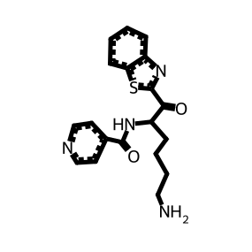 NCCCCC(NC(=O)c1ccncc1)C(=O)c1nc2ccccc2s1